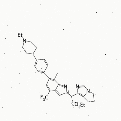 CCOC(=O)C(c1ncn2c1CCC2)n1cc2c(C(F)(F)F)cc(-c3ccc(C4CCN(CC)CC4)cc3)c(C)c2n1